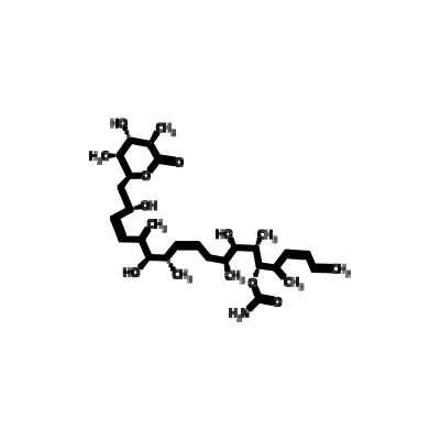 C=C/C=C\C(C)[C@H](OC(N)=O)[C@@H](C)[C@H](O)[C@@H](C)C/C=C\[C@H](C)[C@@H](O)C(C)/C=C\[C@@H](O)C[C@@H]1OC(=O)[C@H](C)[C@@H](O)[C@H]1C